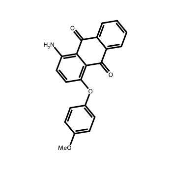 COc1ccc(Oc2ccc(N)c3c2C(=O)c2ccccc2C3=O)cc1